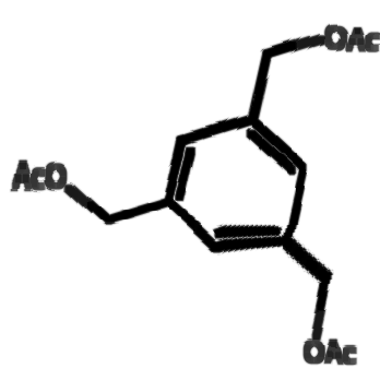 CC(=O)OCc1cc(COC(C)=O)cc(COC(C)=O)c1